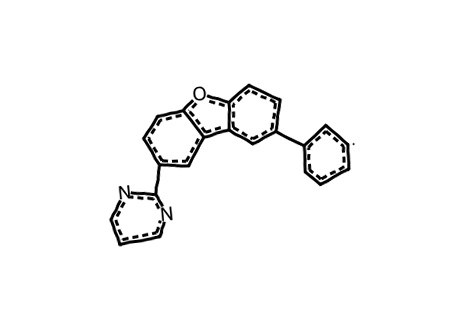 [c]1cccc(-c2ccc3oc4ccc(-c5ncccn5)cc4c3c2)c1